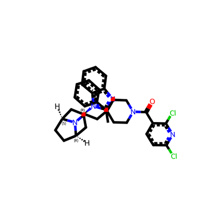 Cc1nc2ccccc2n1[C@H]1C[C@H]2CC[C@@H](C1)N2CCC1(c2ccccc2)CCN(C(=O)c2ccc(Cl)nc2Cl)CC1